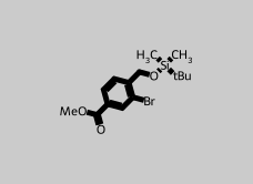 COC(=O)c1ccc(CO[Si](C)(C)C(C)(C)C)c(Br)c1